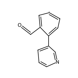 O=Cc1c[c]ccc1-c1cccnc1